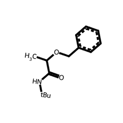 CC(OCc1ccccc1)C(=O)NC(C)(C)C